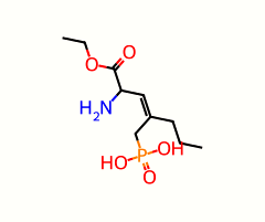 CCCC(=CC(N)C(=O)OCC)CP(=O)(O)O